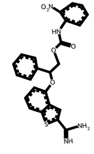 N=C(N)c1cc2c(OC(COC(=O)Nc3ccccc3[N+](=O)[O-])c3ccccc3)cccc2s1